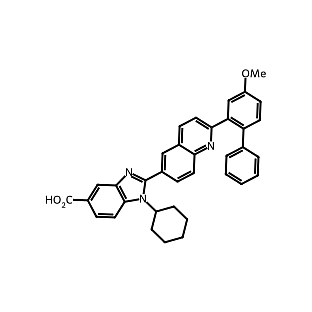 COc1ccc(-c2ccccc2)c(-c2ccc3cc(-c4nc5cc(C(=O)O)ccc5n4C4CCCCC4)ccc3n2)c1